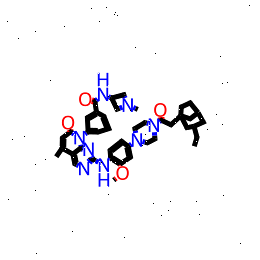 CCC1CC2CCC(CC(=O)N3CCN(c4ccc(Nc5ncc6c(C)cc(=O)n(-c7cccc(C(=O)NC8CN(C)C8)c7)c6n5)c(OC)c4)CC3)(C1)C2